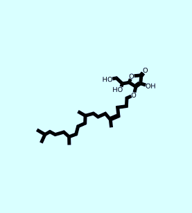 CC(=CCCCOC1=C(O)C(=O)OC1C(O)CO)CCCC(C)CCCC(C)CCCC(C)C